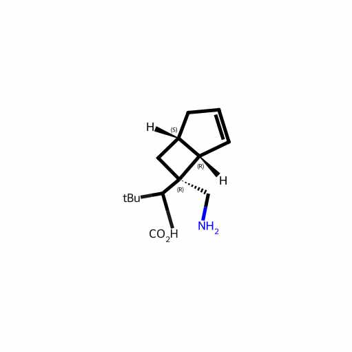 CC(C)(C)C(C(=O)O)[C@@]1(CN)C[C@@H]2CC=C[C@@H]21